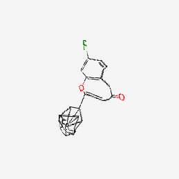 O=c1cc([C]23[CH]4[CH]5[CH]6[CH]2[Fe]56432789[CH]3[CH]2[CH]7[CH]8[CH]39)oc2cc(F)ccc12